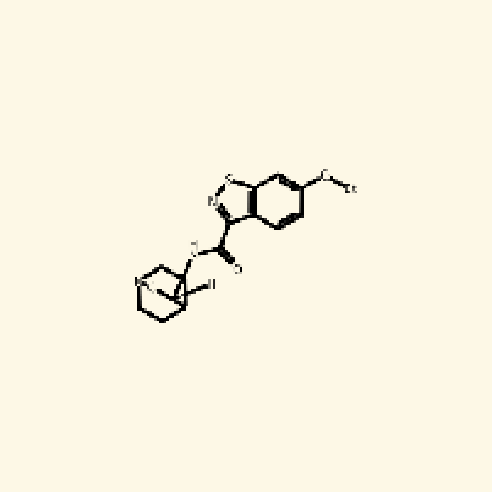 CCOc1ccc2c(C(=O)N[C@H]3CN4CCC3CC4)nsc2c1